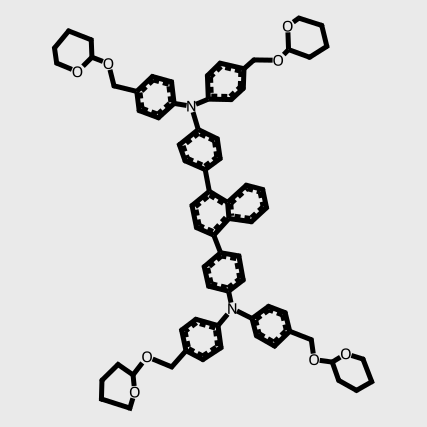 c1ccc2c(-c3ccc(N(c4ccc(COC5CCCCO5)cc4)c4ccc(COC5CCCCO5)cc4)cc3)ccc(-c3ccc(N(c4ccc(COC5CCCCO5)cc4)c4ccc(COC5CCCCO5)cc4)cc3)c2c1